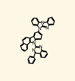 c1ccc(-c2nc(-n3c4ccc(-n5c6ccccc6n6c7ccccc7nc56)cc4c4ccc5ccccc5c43)nc3ccccc23)cc1